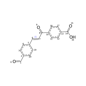 O=Cc1ccc(/C=C/C(=O)c2ccc(C(=O)O)cc2)cc1